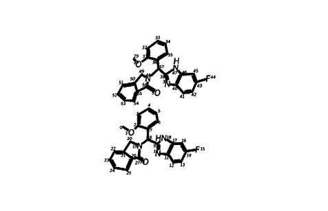 COc1ccccc1C(c1nc2ccc(F)cc2[nH]1)N1Cc2ccccc2C1=O.COc1ccccc1C(c1nc2ccc(F)cc2[nH]1)N1Cc2ccccc2C1=O